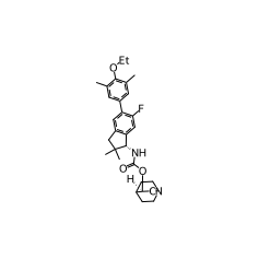 CCOc1c(C)cc(-c2cc3c(cc2F)[C@H](NC(=O)O[C@H]2CN4CCC2CC4)C(C)(C)C3)cc1C